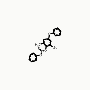 Cc1cc(Oc2ccccc2)cc(C(C)(C)C)c1OP(F)Oc1ccccc1